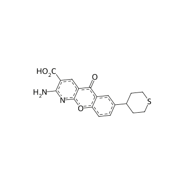 Nc1nc2oc3ccc(C4CCSCC4)cc3c(=O)c2cc1C(=O)O